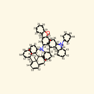 CC12C(=CC=CC1c1ccccc1N(c1ccc3oc4ccccc4c3c1)c1ccccc1-c1cccc3c1c1ccccc1n3-c1ccccc1)C=CC=C2c1ccccc1